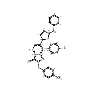 O=c1n(Cc2ccc(C(F)(F)F)nc2)nc2c(-c3ccc(Cl)cc3)c(C3C=NN(Cc4ccccc4)C3)cnn12